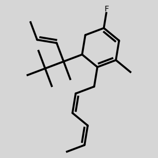 CC=CC(C)(C1CC(F)=CC(C)=C1C/C=C\C=C/C)C(C)(C)C